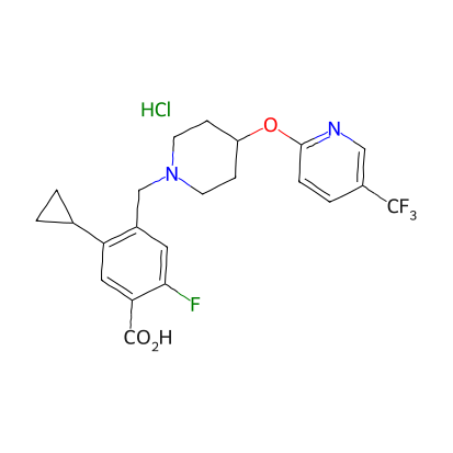 Cl.O=C(O)c1cc(C2CC2)c(CN2CCC(Oc3ccc(C(F)(F)F)cn3)CC2)cc1F